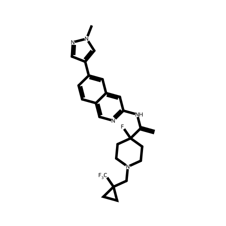 C=C(Nc1cc2cc(-c3cnn(C)c3)ccc2cn1)C1(F)CCN(CC2(C(F)(F)F)CC2)CC1